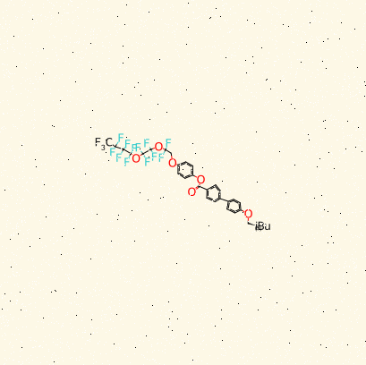 CC[C@H](C)COc1ccc(-c2ccc(C(=O)Oc3ccc(OCC(F)(F)OC(F)(F)C(F)(F)OC(F)(F)C(F)(F)C(F)(F)C(F)(F)F)cc3)cc2)cc1